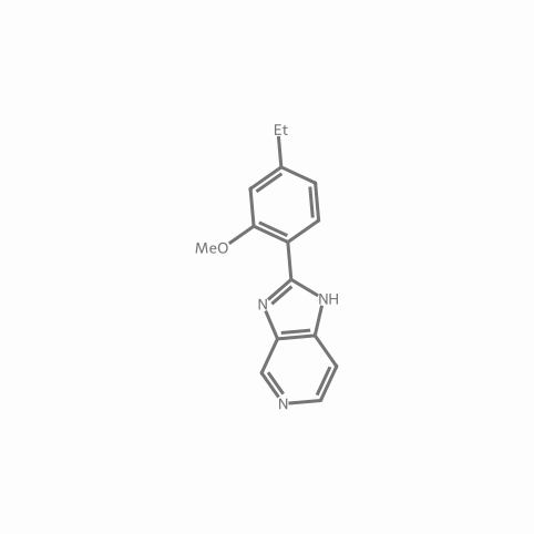 CCc1ccc(-c2nc3cnccc3[nH]2)c(OC)c1